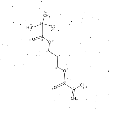 C=C(C)C(=O)OCCCOC(=O)C(C)(C)CC